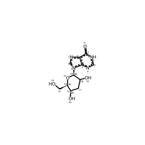 O=c1[nH]cnc2c1ncn2[C@@H]1O[C@H](CO)[C@H](O)CC1O